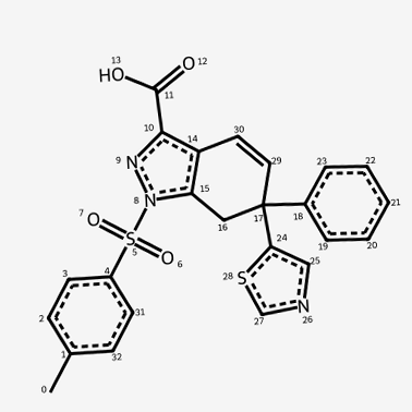 Cc1ccc(S(=O)(=O)n2nc(C(=O)O)c3c2CC(c2ccccc2)(c2cncs2)C=C3)cc1